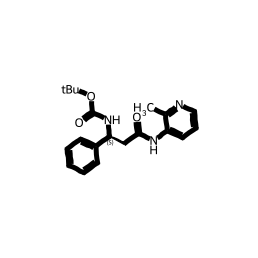 Cc1ncccc1NC(=O)C[C@H](NC(=O)OC(C)(C)C)c1ccccc1